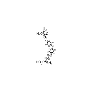 C=C(C)C(=O)OCCc1ccc(Cc2ccc(OCCC=C(C)C(=O)O)cc2)cc1